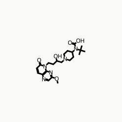 COc1cnc2ccc(=O)n(CCC(O)CN3CCC(N(C(=O)O)C(C)(C)C)CC3)c2n1